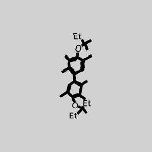 CCC(C)(C)Oc1c(C)cc(-c2cc(C)c(OC(C)(CC)CC)c(C)c2C)c(C)c1C